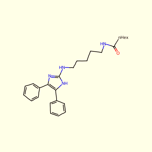 CCCCCCC(=O)NCCCCCNc1nc(-c2ccccc2)c(-c2ccccc2)[nH]1